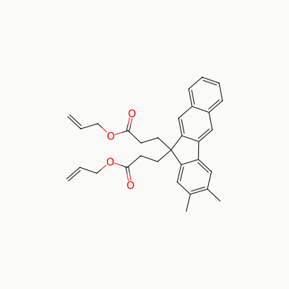 C=CCOC(=O)CCC1(CCC(=O)OCC=C)c2cc(C)c(C)cc2-c2cc3ccccc3cc21